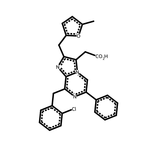 Cc1ccc(Cc2nc3c(Cc4ccccc4Cl)nc(-c4ccccc4)cn3c2CC(=O)O)o1